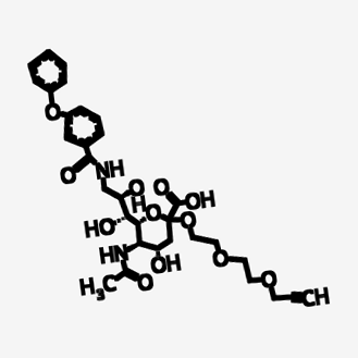 C#CCOCCOCCOC1(C(=O)O)C[C@H](O)[C@@H](NC(C)=O)[C@H]([C@H](O)[C@H](O)CNC(=O)c2cccc(Oc3ccccc3)c2)O1